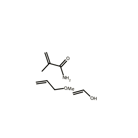 C=C(C)C(N)=O.C=CCOC.C=CO